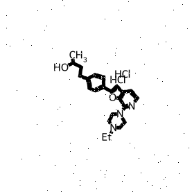 CCN1CCN(c2nccc3cc(-c4ccc(CCC(C)O)cc4)oc23)CC1.Cl.Cl